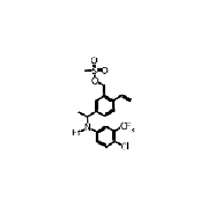 C=Cc1ccc(C(C)N(CC)c2ccc(Cl)c(C(F)(F)F)c2)cc1COS(C)(=O)=O